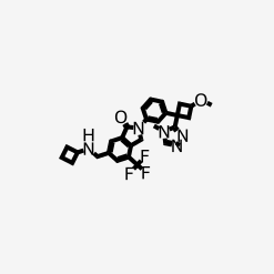 COC1CC(c2cccc(N3Cc4c(cc(CNC5CCC5)cc4C(F)(F)F)C3=O)c2)(c2nncn2C)C1